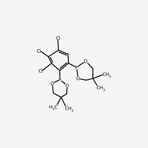 CC1(C)COP(c2cc(Cl)c(Cl)c(Cl)c2P2OCC(C)(C)CO2)OC1